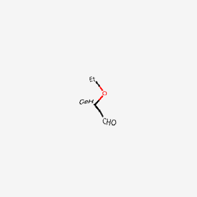 CCOCC=O.[GeH4]